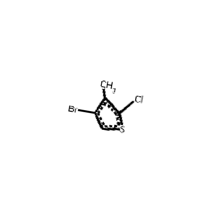 Cc1c(Br)csc1Cl